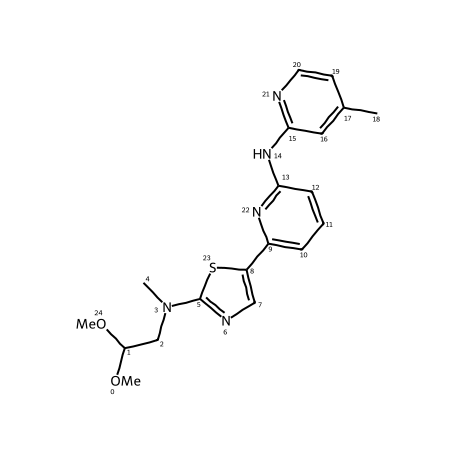 COC(CN(C)c1ncc(-c2cccc(Nc3cc(C)ccn3)n2)s1)OC